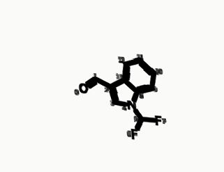 O=Cc1cn(C(F)F)c2ccccc12